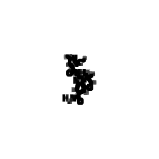 CCn1nc(C)cc1C(=O)Nc1nc2cc(C(N)=O)cc3c2n1C(C)(C)CO3